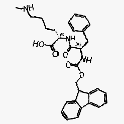 CNCCCC[C@H](NC(=O)[C@@H](Cc1ccccc1)NC(=O)OCC1c2ccccc2-c2ccccc21)C(=O)O